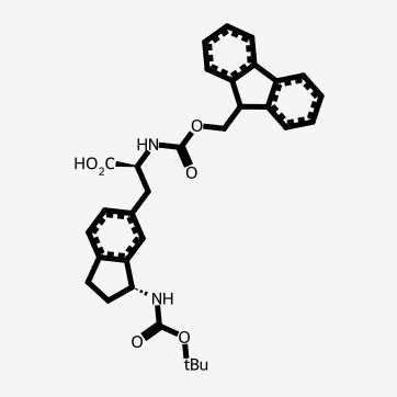 CC(C)(C)OC(=O)N[C@@H]1CCc2ccc(C[C@H](NC(=O)OCC3c4ccccc4-c4ccccc43)C(=O)O)cc21